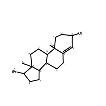 CC(C)C1CCC2C3CCC4=CC(O)CCC4(C)C3CCC12C